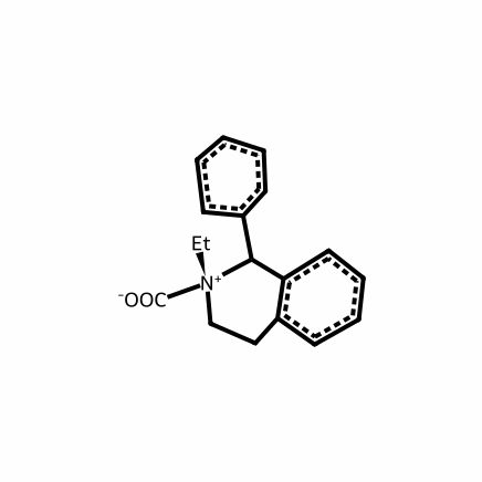 CC[N@+]1(C(=O)[O-])CCc2ccccc2C1c1ccccc1